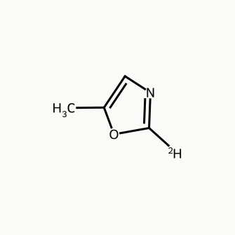 [2H]c1ncc(C)o1